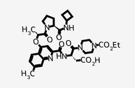 CCOC(=O)N1CCN(C(=O)[C@H](CC(=O)O)NC(=O)c2cc(O[C@H](C)C(=O)N3CCC[C@H]3C(=O)NC3CCC3)c3ccc(C)cc3n2)CC1